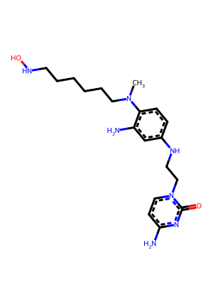 CN(CCCCCCNO)c1ccc(NCCn2ccc(N)nc2=O)cc1N